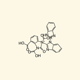 O=C(O)c1cccc2c1N(C(=O)O)C(=O)[N+]2(C(=O)O)c1nc2ccccc2n1-c1nc2ccccc2[nH]1